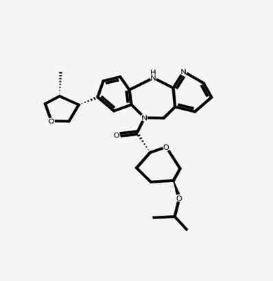 CC(C)O[C@H]1CC[C@H](C(=O)N2Cc3cccnc3Nc3ccc([C@@H]4COC[C@@H]4C)cc32)OC1